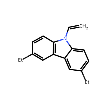 C=Cn1c2ccc(CC)cc2c2cc(CC)ccc21